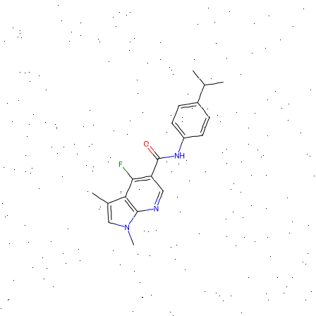 Cc1cn(C)c2ncc(C(=O)Nc3ccc(C(C)C)cc3)c(F)c12